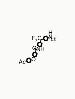 CCNc1ccc(C(c2ccc(NC(=O)c3ccc(Oc4ccc(C(C)=O)cc4)cc3)cc2)C(F)(F)F)cc1